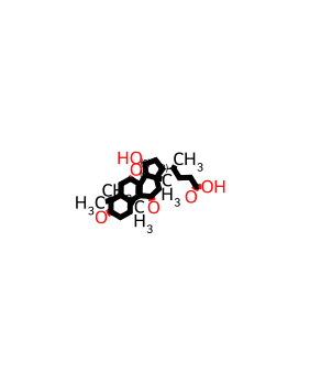 CC(CCC(=O)O)[C@H]1C[C@H](O)[C@@]23OC4CC5C(C)(C)C(=O)CCC5(C)C(=C42)C(=O)CC13C